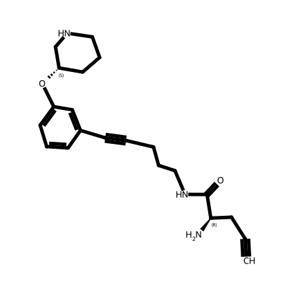 C#CC[C@@H](N)C(=O)NCCCC#Cc1cccc(O[C@H]2CCCNC2)c1